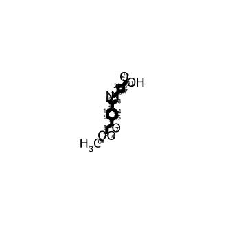 CCOC(=O)CC(=O)C1CCC(c2cnn(C3CC(C(=O)O)C3)c2)CC1